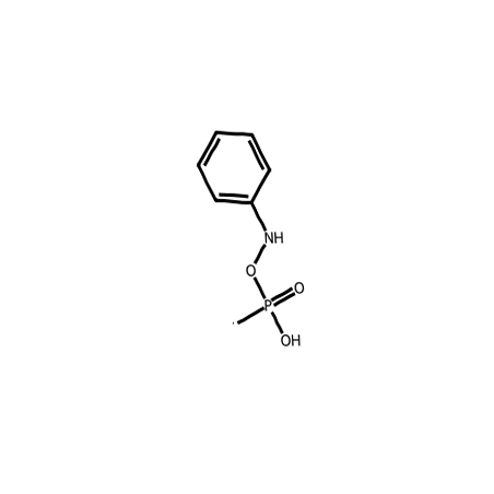 [CH2]P(=O)(O)ONc1ccccc1